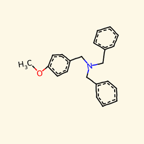 COc1ccc(CN(Cc2ccccc2)Cc2ccccc2)cc1